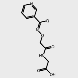 O=C(O)CNC(=O)CON=C(Cl)c1cccnc1